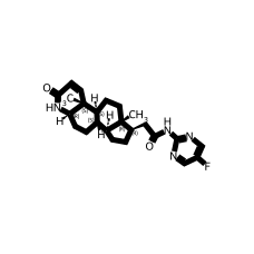 C[C@]12C=CC(=O)N[C@@H]1CC[C@@H]1[C@@H]2CC[C@]2(C)[C@@H](CC(=O)Nc3ncc(F)cn3)CC[C@@H]12